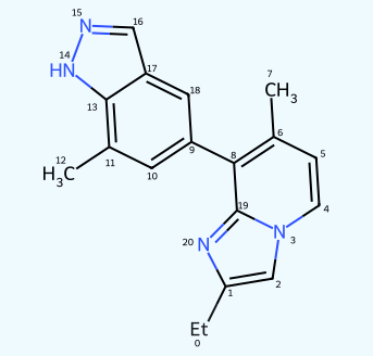 CCc1cn2ccc(C)c(-c3cc(C)c4[nH]ncc4c3)c2n1